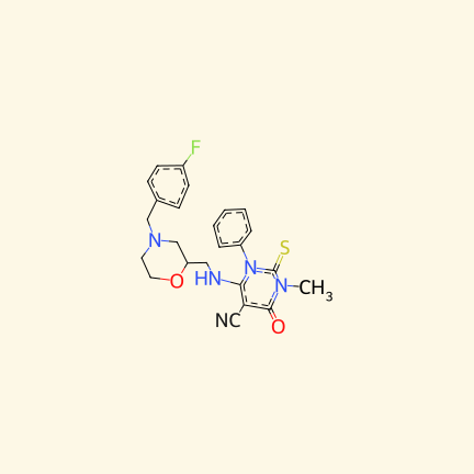 Cn1c(=O)c(C#N)c(NCC2CN(Cc3ccc(F)cc3)CCO2)n(-c2ccccc2)c1=S